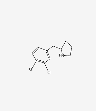 Clc1ccc(CC2CCCN2)cc1Cl